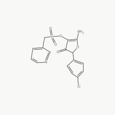 NC1=C(OS(=O)(=O)Cc2cccnc2)C(=O)C(c2ccc(Cl)cc2)O1